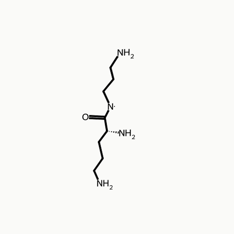 NCCC[N]C(=O)[C@H](N)CCCN